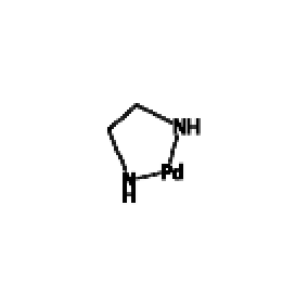 C1C[NH][Pd][NH]1